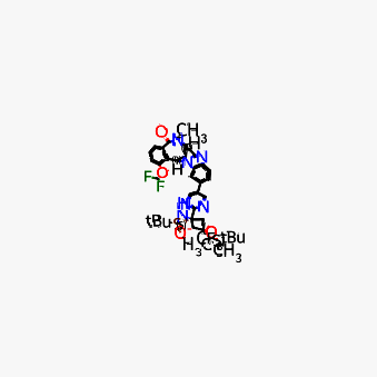 CN1C(=O)c2cccc(OC(F)F)c2[C@H]2C[C@@H]1c1nc3ccc(-c4cnc(C5(N[S@+]([O-])C(C)(C)C)CC(O[Si](C)(C)C(C)(C)C)(C(F)(F)F)C5)nc4)cc3n12